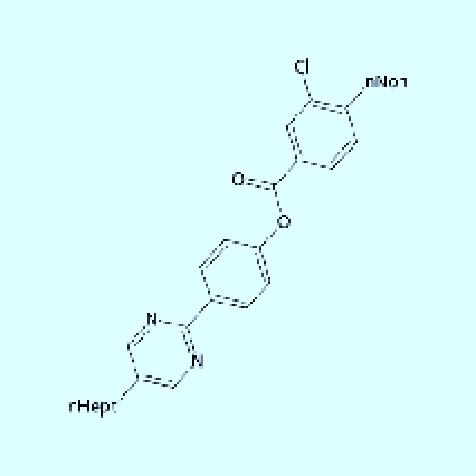 CCCCCCCCCc1ccc(C(=O)Oc2ccc(-c3ncc(CCCCCCC)cn3)cc2)cc1Cl